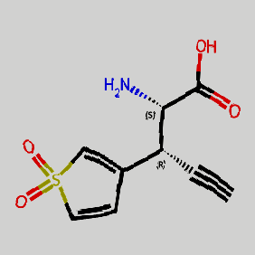 C#C[C@H](C1=CS(=O)(=O)C=C1)[C@H](N)C(=O)O